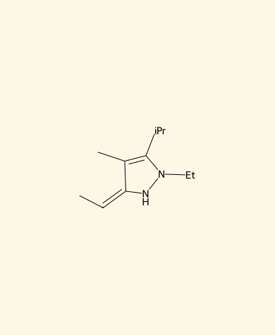 CC=C1NN(CC)C(C(C)C)=C1C